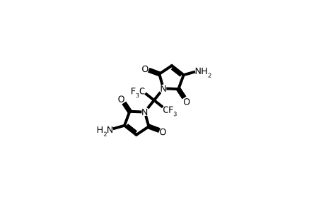 NC1=CC(=O)N(C(N2C(=O)C=C(N)C2=O)(C(F)(F)F)C(F)(F)F)C1=O